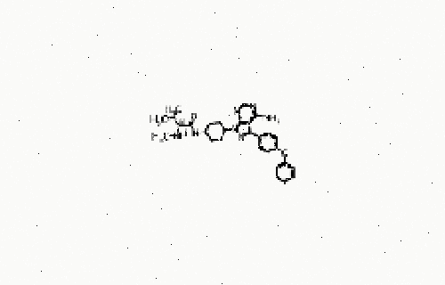 CN[C@H](C(=O)NC1CCC(n2nc(-c3ccc(Oc4ccccc4)cc3)c3c(N)ncnc32)CC1)C(C)C